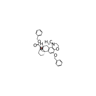 CN1CCOc2c(OCc3ccccc3)cc3c(c21)C[C@H]1[C@H]2CCCC[C@@]32CCN1C(=O)OCc1ccccc1